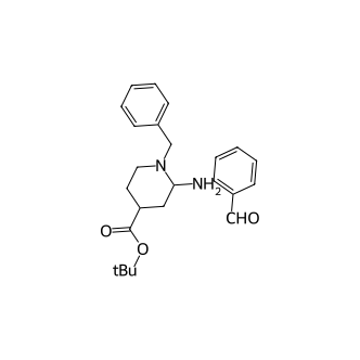 CC(C)(C)OC(=O)C1CCN(Cc2ccccc2)C(N)C1.O=Cc1ccccc1